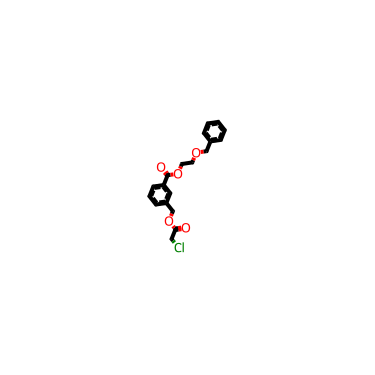 O=C(CCl)OCc1cccc(C(=O)OCCOCc2ccccc2)c1